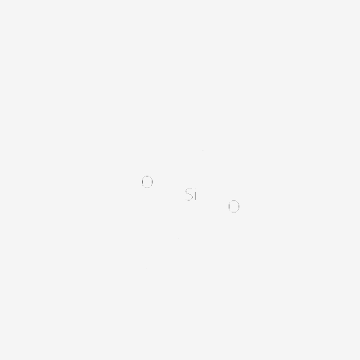 CO[Si](OC)(C1CC1)C1(C)CCCC1